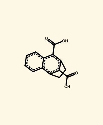 O=C(O)c1c2c(C(=O)O)c3ccccc3c1CC2